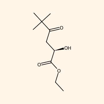 CCOC(=O)[C@H](O)CC(=O)C(C)(C)C